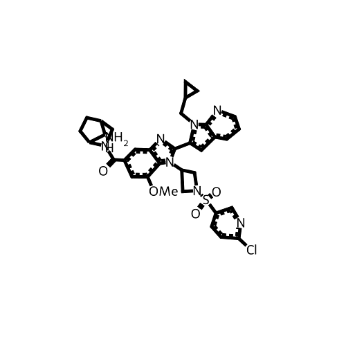 COc1cc(C(=O)N2CC3CCC2[C@@H]3N)cc2nc(-c3cc4cccnc4n3CC3CC3)n(C3CN(S(=O)(=O)c4ccc(Cl)nc4)C3)c12